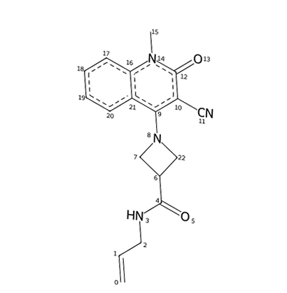 C=CCNC(=O)C1CN(c2c(C#N)c(=O)n(C)c3ccccc23)C1